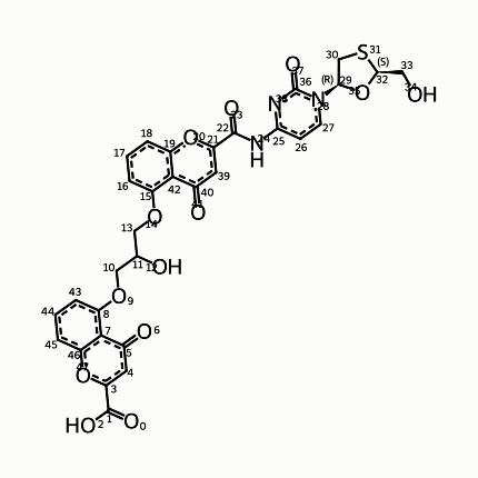 O=C(O)c1cc(=O)c2c(OCC(O)COc3cccc4oc(C(=O)Nc5ccn([C@H]6CS[C@@H](CO)O6)c(=O)n5)cc(=O)c34)cccc2o1